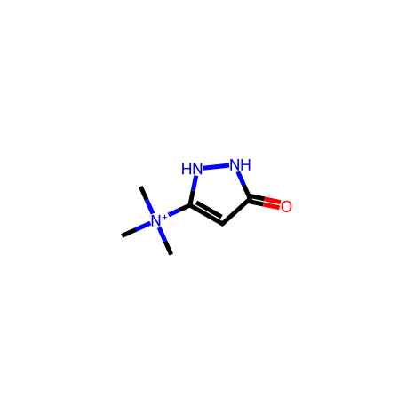 C[N+](C)(C)c1cc(=O)[nH][nH]1